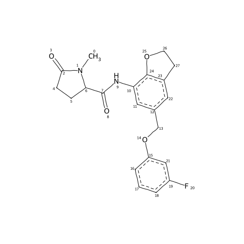 CN1C(=O)CCC1C(=O)Nc1cc(COc2cccc(F)c2)cc2c1OCC2